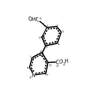 O=Cc1cccc(-c2ccncc2C(=O)O)c1